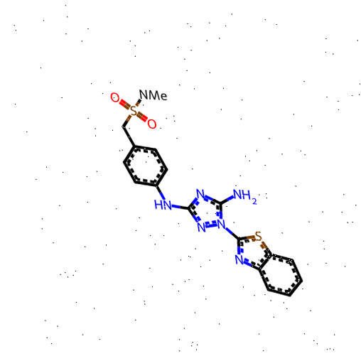 CNS(=O)(=O)Cc1ccc(Nc2nc(N)n(-c3nc4ccccc4s3)n2)cc1